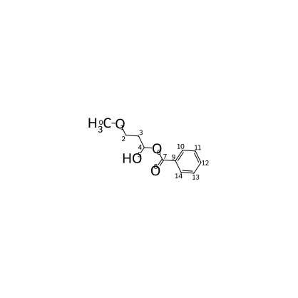 COCCC(O)OC(=O)c1ccccc1